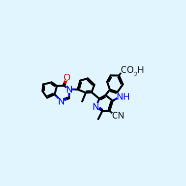 Cc1nc(-c2cccc(-n3cnc4ccccc4c3=O)c2C)c2c([nH]c3cc(C(=O)O)ccc32)c1C#N